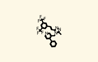 Cc1nnc(C=Cc2cc(C(F)(F)F)cc(C(F)(F)F)c2)n1Cc1cnccc1-c1ccccc1